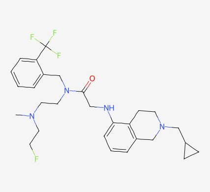 CN(CCF)CCN(Cc1ccccc1C(F)(F)F)C(=O)CNc1cccc2c1CCN(CC1CC1)C2